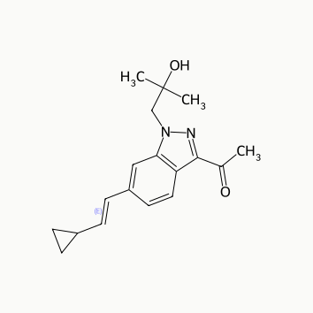 CC(=O)c1nn(CC(C)(C)O)c2cc(/C=C/C3CC3)ccc12